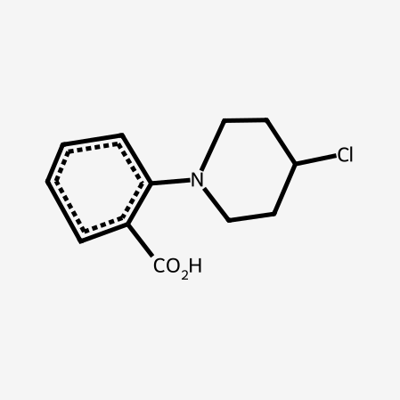 O=C(O)c1ccccc1N1CCC(Cl)CC1